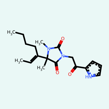 C/C=C(\CCCC)C1(C)C(=O)N(CC(=O)c2ccc[nH]2)C(=O)N1C